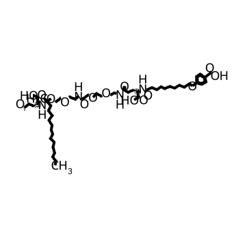 CCCCCCCCCCCCCCC(C)(N[C@@H](CC[C]=O)C(=O)O)OCCOCCNC(=O)COCCOCCNC(=O)CC[C@@H](NC(=O)CCCCCCCCCOc1ccc(C(=O)O)cc1)C(=O)O